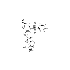 CC1(C)CCc2nc(Nc3cc(S(=O)(=O)c4ccccc4)cc(Cl)n3)sc21